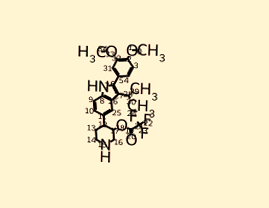 COc1ccc(-c2[nH]c3ccc(C4CCNCC4OC(=O)C(F)(F)F)cc3c2C(C)C)cc1OC